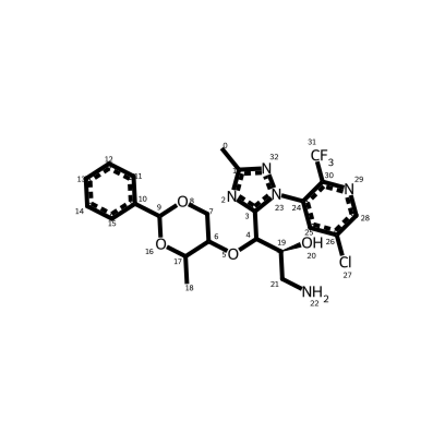 Cc1nc(C(OC2COC(c3ccccc3)OC2C)[C@@H](O)CN)n(-c2cc(Cl)cnc2C(F)(F)F)n1